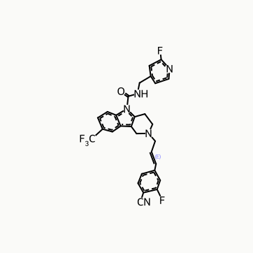 N#Cc1ccc(/C=C/CN2CCc3c(c4cc(C(F)(F)F)ccc4n3C(=O)NCc3ccnc(F)c3)C2)cc1F